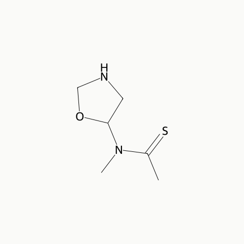 CC(=S)N(C)C1CNCO1